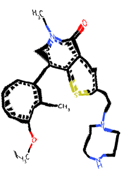 COc1cccc(-c2cn(C)c(=O)c3cc(CN4CCNCC4)sc23)c1C